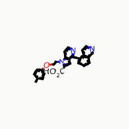 Cc1ccc(OCCn2c(C(=O)O)cc3c(-c4cccc5cnccc45)nccc32)cc1